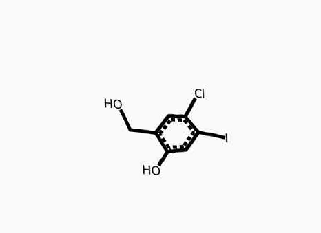 OCc1cc(Cl)c(I)cc1O